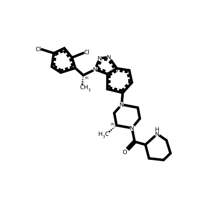 C[C@@H]1CN(c2ccc3nnn([C@H](C)c4ccc(Cl)cc4Cl)c3c2)CCN1C(=O)C1CCCCN1